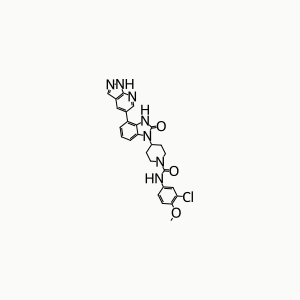 COc1ccc(NC(=O)N2CCC(n3c(=O)[nH]c4c(-c5cnc6[nH]ncc6c5)cccc43)CC2)cc1Cl